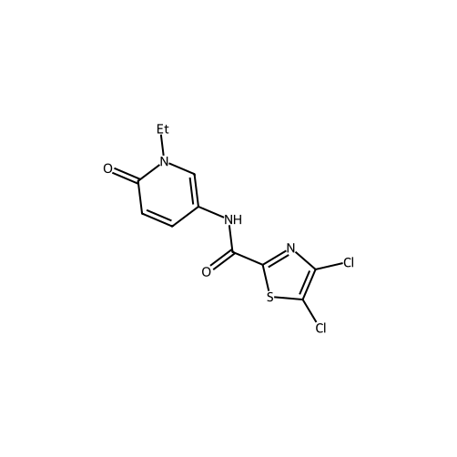 CCn1cc(NC(=O)c2nc(Cl)c(Cl)s2)ccc1=O